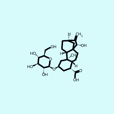 C=C1[C@@H]2CC[C@@H]3C(CC[C@@H]4[C@H](C(=O)O)C[C@@H](O[C@@H]5O[C@H](CO)[C@@H](O)[C@H](O)[C@H]5O)C[C@]43C)(C2)[C@H]1O